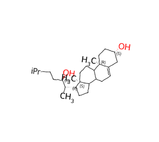 CC(C)CC[C@@H](O)C(C)[C@H]1CCC2C3CC=C4C[C@@H](O)CC[C@]4(C)C3CC[C@@]21C